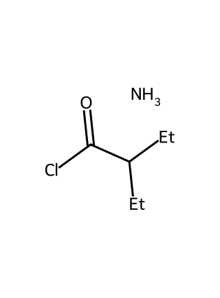 CCC(CC)C(=O)Cl.N